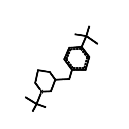 CC(C)(C)c1ccc(CC2CCCN(C(C)(C)C)C2)cc1